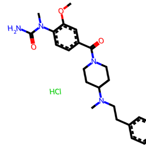 COc1cc(C(=O)N2CCC(N(C)CCc3ccccc3)CC2)ccc1N(C)C(N)=O.Cl